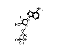 Nc1ncnc2c1ncn2[C@@H]1O[C@H](CO[PH](=S)OP(=O)(O)O)C(O)[C@@H]1F